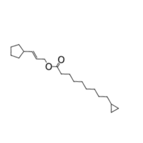 O=C(CCCCCCCCC1CC1)OCC=CC1CCCC1